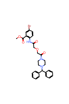 COC(=O)c1cc(Br)ccc1NC(=O)COCC(=O)N1CCN(C(c2ccccc2)c2ccccc2)CC1